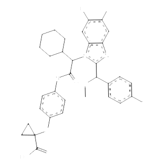 COC(c1ccc(F)cc1)c1nc2cc(F)c(F)cc2n1C(C(=O)Nc1ccc(OC2(C(=O)O)CC2)cc1)C1CCCCC1